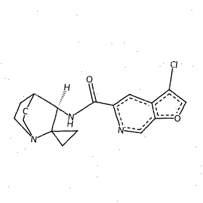 O=C(N[C@@H]1C2CCN(CC2)C12CC2)c1cc2c(Cl)coc2cn1